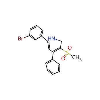 CS(=O)(=O)C1=C(c2ccccc2)C=C(c2cccc(Br)c2)NC1